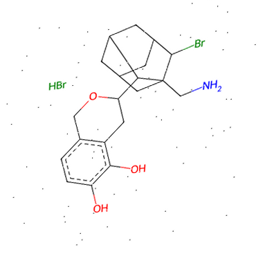 Br.NCC12CC3CC(CC(C3)C1C1Cc3c(ccc(O)c3O)CO1)C2Br